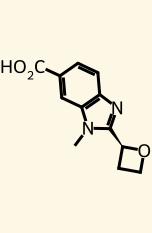 Cn1c([C@@H]2CCO2)nc2ccc(C(=O)O)cc21